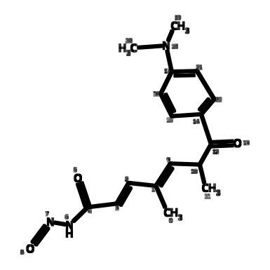 CC(/C=C/C(=O)NN=O)=C\C(C)C(=O)c1ccc(N(C)C)cc1